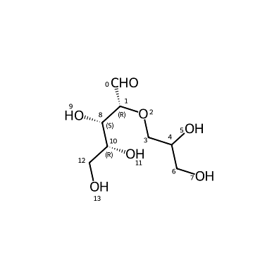 O=C[C@H](OCC(O)CO)[C@@H](O)[C@H](O)CO